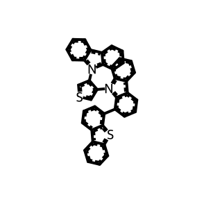 c1ccc2c(c1)sc1c(-c3cccc4c5ccccc5n(-c5cscc5-n5c6ccccc6c6ccccc65)c34)cccc12